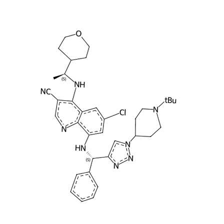 C[C@H](Nc1c(C#N)cnc2c(N[C@@H](c3ccccc3)c3cn(C4CCN(C(C)(C)C)CC4)nn3)cc(Cl)cc12)C1CCOCC1